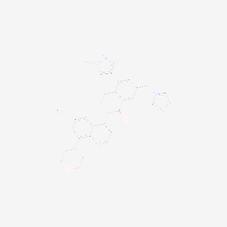 COc1cc(N2CCOCC2)c2nccc(N3CCc4c(cc(Cn5ccnc5)cc4-c4cn(C)nc4C(F)(F)F)C3=O)c2c1